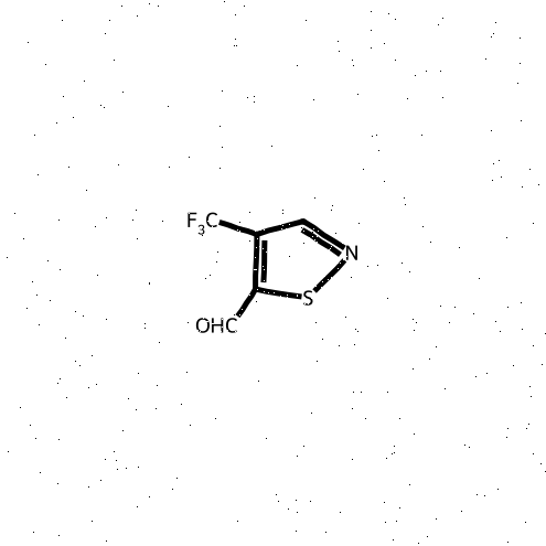 O=Cc1sncc1C(F)(F)F